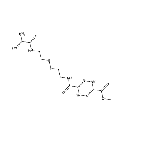 COC(=O)C1=NNC(C(=O)NCCSSCCNC(=O)C(=N)N)=NN1